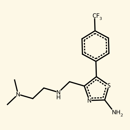 CN(C)CCNCc1nc(N)sc1-c1ccc(C(F)(F)F)cc1